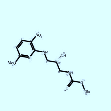 COc1ccc([N+](=O)[O-])c(NC[C@H](O)CNC(=O)OC(C)(C)C)n1